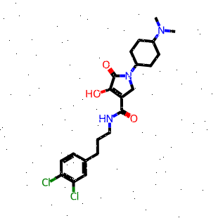 CN(C)C1CCC(N2CC(C(=O)NCCCc3ccc(Cl)c(Cl)c3)=C(O)C2=O)CC1